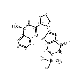 C[C@@H](NC(=O)[C@H]1CCCN1c1nc2c(=O)[nH]c(C(C)(C)F)nc2s1)c1ccccc1